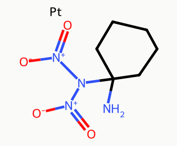 NC1(N([N+](=O)[O-])[N+](=O)[O-])CCCCC1.[Pt]